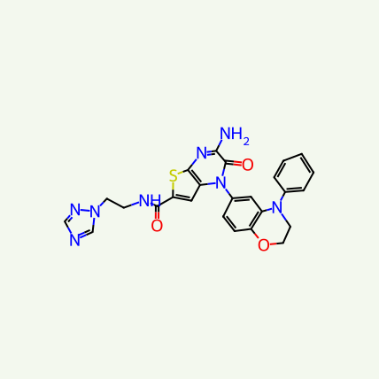 Nc1nc2sc(C(=O)NCCn3cncn3)cc2n(-c2ccc3c(c2)N(c2ccccc2)CCO3)c1=O